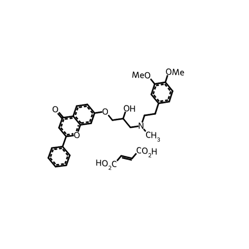 COc1ccc(CCN(C)CC(O)COc2ccc3c(=O)cc(-c4ccccc4)oc3c2)cc1OC.O=C(O)C=CC(=O)O